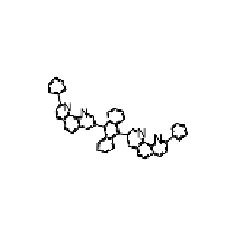 c1ccc(-c2ccc3ccc4cc(-c5c6ccccc6c(-c6cnc7c(ccc8ccc(-c9ccccc9)nc87)c6)c6ccccc56)cnc4c3n2)cc1